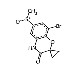 C[S+]([O-])c1cc(Br)c2c(c1)NC(=O)C1(CC1)O2